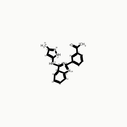 CC(=O)c1cccc(-c2nc(Nc3cc(C)n[nH]3)c3ccccc3n2)c1